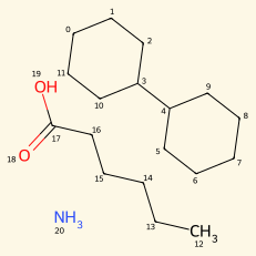 C1CCC(C2CCCCC2)CC1.CCCCCC(=O)O.N